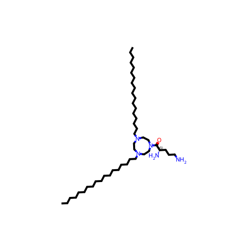 CCCCCCCCCCCCCCCCCCN1CCN(CCCCCCCCCCCCCCCCCC)CCN(C(=O)[C@@H](N)CCCN)CC1